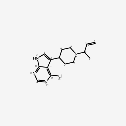 C=CC(C)N1CCC(c2c[nH]c3ncnc(Cl)c23)CC1